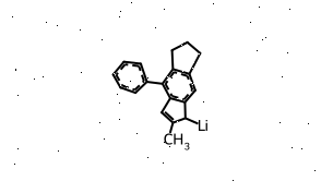 [Li][CH]1C(C)=Cc2c1cc1c(c2-c2ccccc2)CCC1